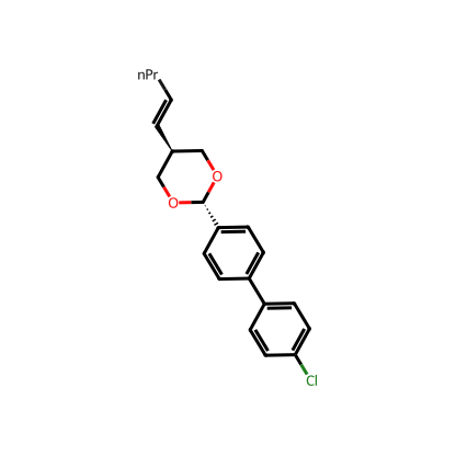 CCCC=C[C@H]1CO[C@H](c2ccc(-c3ccc(Cl)cc3)cc2)OC1